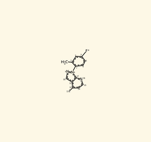 Cc1cc(F)ccc1-n1ncc2c(I)ccnc21